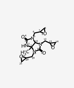 CC12NC(=O)N(CC3CO3)C1N(CC1CO1)C(=O)N2CC1CO1